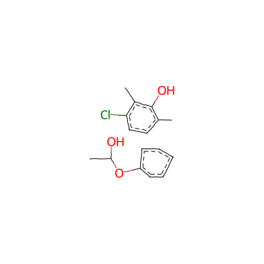 CC(O)Oc1ccccc1.Cc1ccc(Cl)c(C)c1O